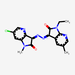 CCN1C(=O)/C(=N\N=C2C(=O)N(C)c3cc(Cl)cnc32)c2cc(C)cnc21